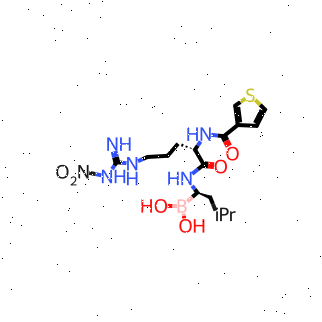 CC(C)C[C@H](NC(=O)[C@H](CCCNC(=N)N[N+](=O)[O-])NC(=O)c1ccsc1)B(O)O